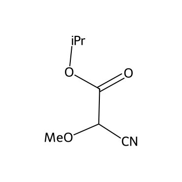 COC(C#N)C(=O)OC(C)C